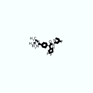 CN(N)/N=C(\N)c1ccc([C@@H](C(=O)Nc2cc(F)ccn2)C2CCC(F)(F)C2)cc1